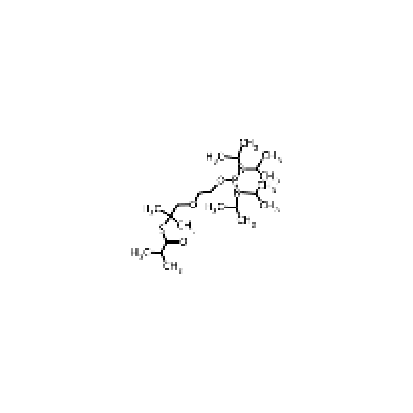 CC(C)C(=O)SC(C)(C)COCCOP(N(C(C)C)C(C)C)N(C(C)C)C(C)C